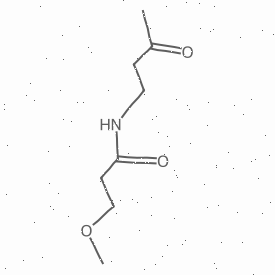 COCCC(=O)NCCC(C)=O